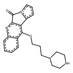 O=C1c2nc3ccccc3c(OCCCN3CCNCC3)c2-c2cccn21